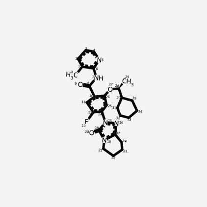 Cc1cccnc1NC(=O)c1cc(F)c(-n2nc3n(c2=O)CCCC3)cc1O[C@@H](C)C1CCCCC1